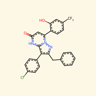 O=c1cc(-c2ccc(C(F)(F)F)cc2O)n2nc(Cc3ccccc3)c(-c3ccc(Cl)cc3)c2[nH]1